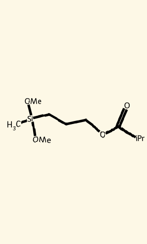 CO[Si](C)(CCCOC(=O)C(C)C)OC